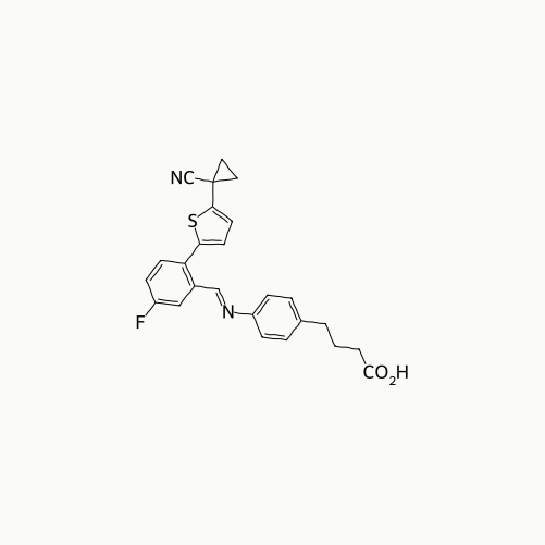 N#CC1(c2ccc(-c3ccc(F)cc3/C=N/c3ccc(CCCC(=O)O)cc3)s2)CC1